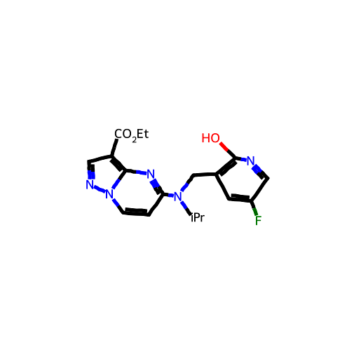 CCOC(=O)c1cnn2ccc(N(Cc3cc(F)cnc3O)C(C)C)nc12